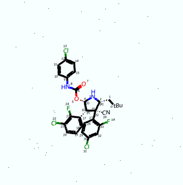 CC(C)(C)C[C@H]1N[C@@H](OC(=O)Nc2ccc(Cl)cc2)[C@@H](c2cccc(Cl)c2F)[C@]1(C#N)c1ccc(Cl)cc1F